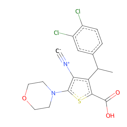 [C-]#[N+]c1c(N2CCOCC2)sc(C(=O)O)c1C(C)c1ccc(Cl)c(Cl)c1